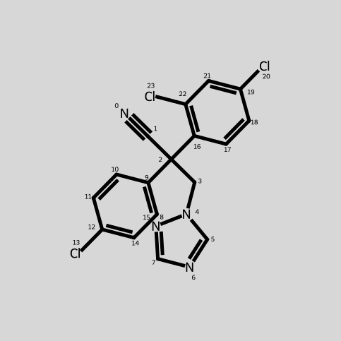 N#CC(Cn1cncn1)(c1ccc(Cl)cc1)c1ccc(Cl)cc1Cl